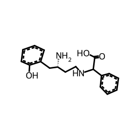 N[C@H](CCNC(C(=O)O)c1ccccc1)Cc1ccccc1O